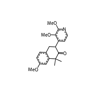 COc1ccc2c(c1)C(C)(C)C(=O)C(c1ccnc(OC)c1OC)C2